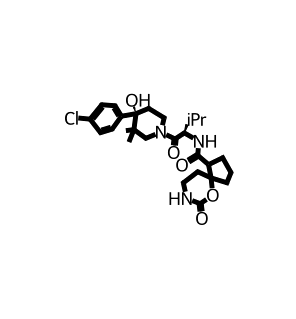 CC(C)[C@@H](NC(=O)C1CCCC12CCNC(=O)O2)C(=O)N1CC[C@](O)(c2ccc(Cl)cc2)C(C)(C)C1